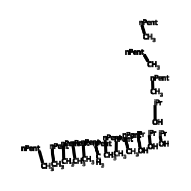 CC(C)O.CC(C)O.CC(C)O.CC(C)O.CCCCCC.CCCCCC.CCCCCC.CCCCCC.CCCCCC.CCCCCC.CCCCCC.CCCCCC.CCCCCC.CCCCCC.CCCCCC.CCCCCC